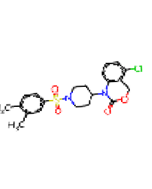 Cc1ccc(S(=O)(=O)N2CCC(N3C(=O)OCc4c(Cl)cccc43)CC2)cc1C